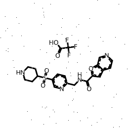 O=C(NCc1ccc(S(=O)(=O)C2CCNCC2)cn1)c1cc2ccncc2o1.O=C(O)C(F)(F)F